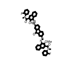 COc1c(C(=O)N(C)c2ccccc2F)cc2ccccc2c1N=Nc1ccc2c(c1)C(=O)c1cc(N=Nc3c(OC)c(C(=O)N(C)c4ccccc4F)cc4ccccc34)ccc1-2